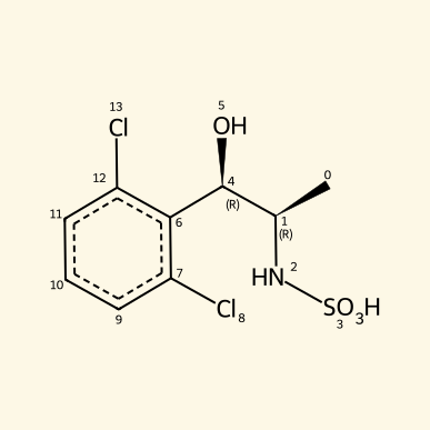 C[C@@H](NS(=O)(=O)O)[C@H](O)c1c(Cl)cccc1Cl